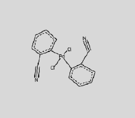 N#Cc1cccc[c]1[Pd]([Cl])([Cl])[c]1ccccc1C#N